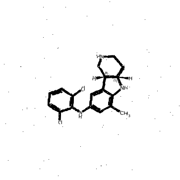 Cc1cc(Nc2c(Cl)cccc2Cl)cc2c1N[C@H]1CCNC[C@@H]21